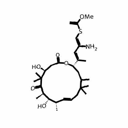 C=C(OC)S/C=C(N)/C=C(\C)[C@@H]1CC(C)C(C)(C)C/C=C/[C@H](C)[C@H](O)[C@@H](C)C(=O)C(C)(C)[C@@H](O)CC(=O)O1